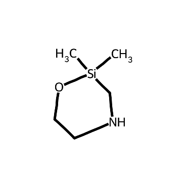 C[Si]1(C)CNCCO1